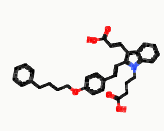 O=C(O)C=Cc1c(C=Cc2ccc(OCCCCc3ccccc3)cc2)n(CCCC(=O)O)c2ccccc12